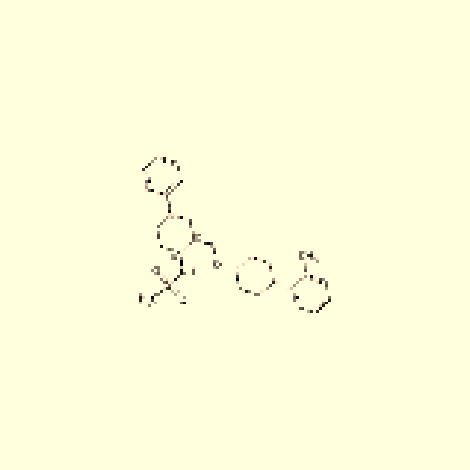 Cc1ccccc1[C@H]1CC[C@@H](OC[C@@H]2CN(c3ccccn3)CC[C@@H]2NS(C)(=O)=O)CC1